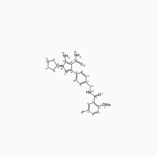 COc1ccc(F)cc1C(=O)NCc1ccc(-c2nn([C@H]3CCOC3)c(N)c2C(N)=O)cc1